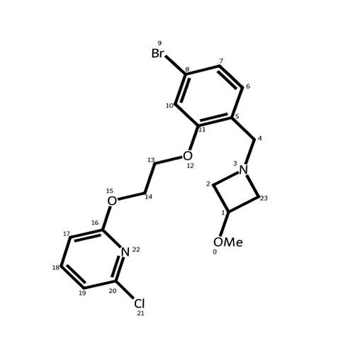 COC1CN(Cc2ccc(Br)cc2OCCOc2cccc(Cl)n2)C1